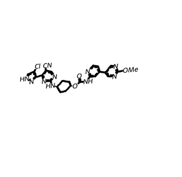 COc1ncc(-c2ccnc(NC(=O)O[C@H]3CC[C@H](Nc4ncc(C#N)c(-c5n[nH]cc5Cl)n4)CC3)c2)cn1